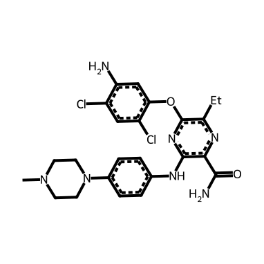 CCc1nc(C(N)=O)c(Nc2ccc(N3CCN(C)CC3)cc2)nc1Oc1cc(N)c(Cl)cc1Cl